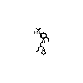 C=C(C)Nc1ccc(CC)c(OCC(CCC)CN2CCC2)c1